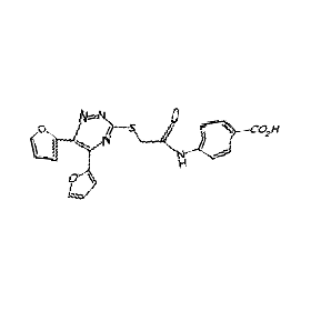 O=C(CSc1nnc(-c2ccco2)c(-c2ccco2)n1)Nc1ccc(C(=O)O)cc1